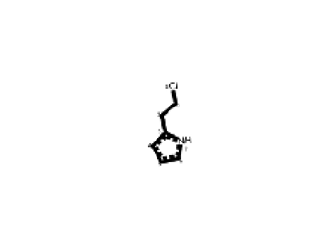 Cl[CH]Cc1ccc[nH]1